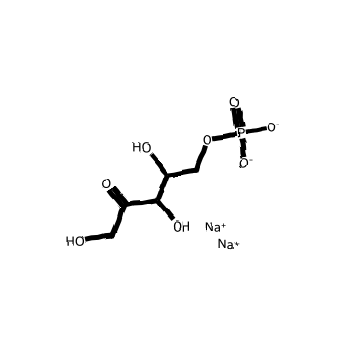 O=C(CO)C(O)C(O)COP(=O)([O-])[O-].[Na+].[Na+]